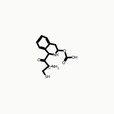 N[C@H](CS)C(=O)C1NC(OC(=O)O)Cc2ccccc21